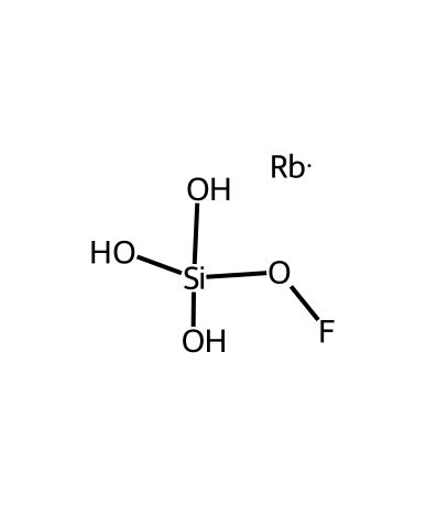 O[Si](O)(O)OF.[Rb]